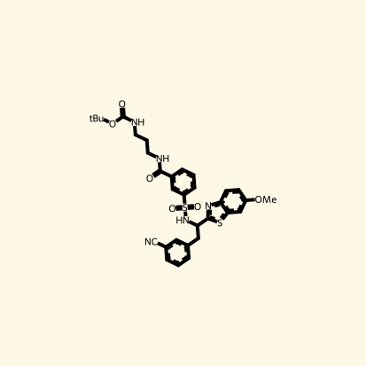 COc1ccc2nc(C(Cc3cccc(C#N)c3)NS(=O)(=O)c3cccc(C(=O)NCCCNC(=O)OC(C)(C)C)c3)sc2c1